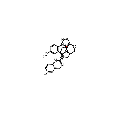 Cc1ccc(-n2nccn2)c(C(=O)N2C3CCN(c4ncc5cc(F)ccc5n4)CC2COC3)c1